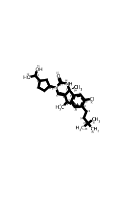 CC(C)C1=CN(C2CCC(C(O)O)C2)C(=O)N[C@@]1(C)c1ccc(CCC(C)(C)C)c(Cl)c1